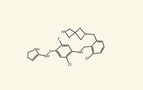 Fc1cc(NCc2c(Cl)cccc2CN2CC3(CNC3)C2)c(Cl)cc1SNC1=CSCN1